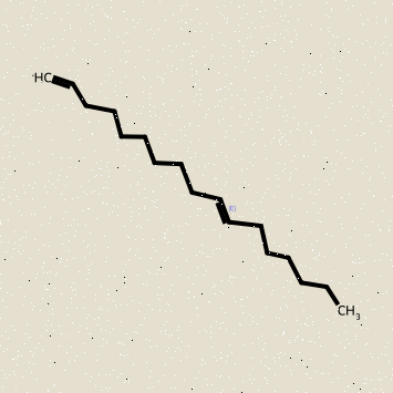 [CH]=CCCCCCCC/C=C/CCCCCC